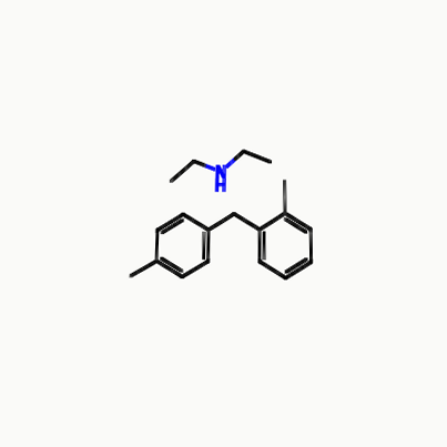 CCNCC.Cc1ccc(Cc2ccccc2C)cc1